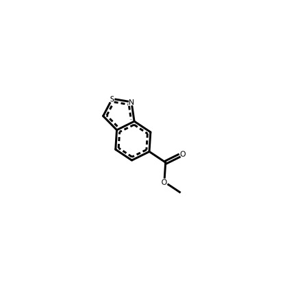 COC(=O)c1ccc2csnc2c1